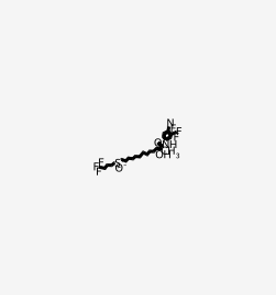 C[C@](O)(CCCCCCCCCCC[S+]([O-])CCCCC(F)(F)F)C(=O)Nc1ccc(C#N)c(C(F)(F)F)c1